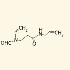 C=CCNC(=O)CCN(C=C)C=O